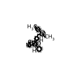 CCC(=O)NC(Cc1ccc(NC(=O)[C@@H](NC(=O)c2ccnn2C)C2CCCCCC2)cc1)C(=O)N1CCN(C)CC1